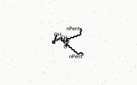 CCCCC/C=C\C/C=C\CCCCCCCC(=O)OCC(CN(C)CCN(CCO)C1CCC1)OC(=O)CCCCCCC/C=C\C/C=C\CCCCC